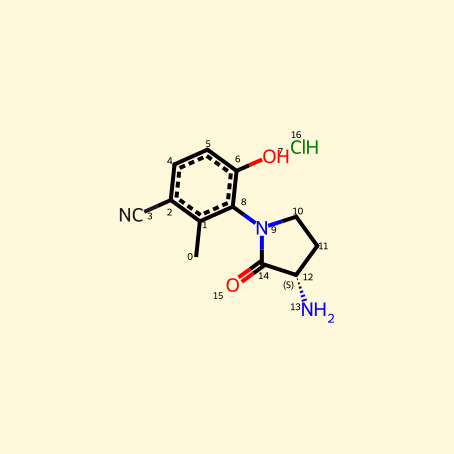 Cc1c(C#N)ccc(O)c1N1CC[C@H](N)C1=O.Cl